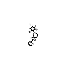 [2H]c1c(C)c([2H])c(N2CCCc3oc(-c4ccccn4)nc3C2)c([2H])c1F